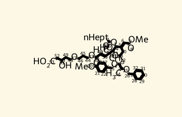 CCCCCCCC(=O)O[C@H]1/C(=C/C(=O)OC)C[C@@H](C[C@@H](OCc2ccc(OC)cc2)[C@@H](C)OCc2ccccc2)O[C@@]1(O)C(C)(C)/C=C/C(=O)OCCCOCC[C@@H](O)CC(=O)O